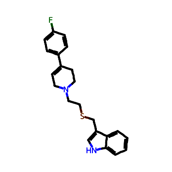 Fc1ccc(C2=CCN(CCSCc3c[nH]c4ccccc34)CC2)cc1